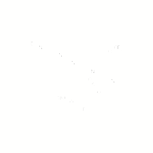 CCN1CCC(N2CCN(C3CCN(c4c(S(=O)(=O)c5ccc(OC(C)(C)C)c(F)c5)cnc5ccc(OC(F)(F)F)cc45)CC3)CC2)CC1